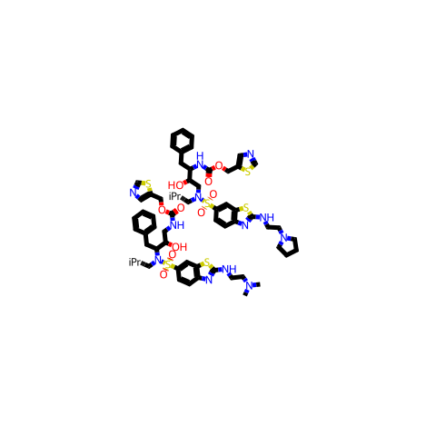 CC(C)CN(C(Cc1ccccc1)C(O)CNC(=O)OCc1cncs1)S(=O)(=O)c1ccc2nc(NCCN(C)C)sc2c1.CC(C)CN(CC(O)C(Cc1ccccc1)NC(=O)OCc1cncs1)S(=O)(=O)c1ccc2nc(NCCN3CCCC3)sc2c1